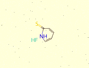 F.S=c1cccc[nH]1